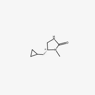 CN1C(=O)NC[C@H]1CC1CC1